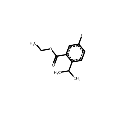 CCOC(=O)c1cc(F)ccc1C(C)C